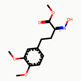 COC(=O)/C(CCc1ccc(OC)c(OC)c1)=N\O